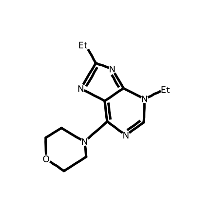 CCc1nc2c(N3CCOCC3)ncn(CC)c-2n1